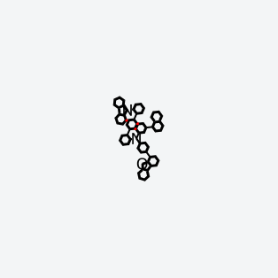 c1cc(-c2cccc3ccccc23)cc(N(c2ccc(-c3cccc4c3oc3ccccc34)cc2)c2ccccc2-c2ccc(-c3ccccc3-n3c4ccccc4c4ccccc43)cc2)c1